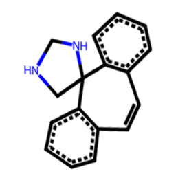 C1=Cc2ccccc2C2(CNCN2)c2ccccc21